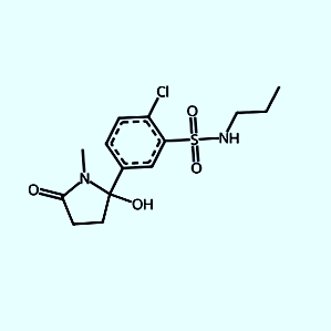 CCCNS(=O)(=O)c1cc(C2(O)CCC(=O)N2C)ccc1Cl